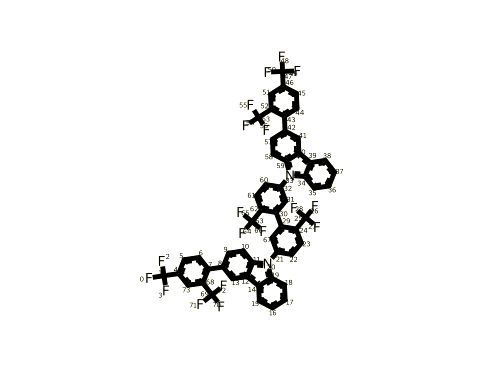 FC(F)(F)c1ccc(-c2ccc3c(c2)c2ccccc2n3-c2ccc(C(F)(F)F)c(-c3cc(-n4c5ccccc5c5cc(-c6ccc(C(F)(F)F)cc6C(F)(F)F)ccc54)ccc3C(F)(F)F)c2)c(C(F)(F)F)c1